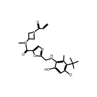 C=CC(=O)N1CC(N(C)C(=O)c2cnc(CNc3c(O)cc(Cl)c(C(C)(C)C)c3C)o2)C1